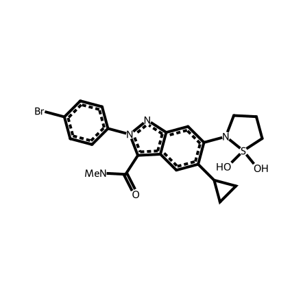 CNC(=O)c1c2cc(C3CC3)c(N3CCCS3(O)O)cc2nn1-c1ccc(Br)cc1